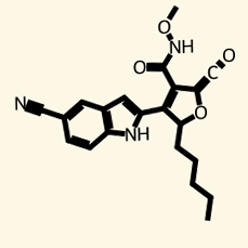 CCCCCC1OC(=C=O)C(C(=O)NOC)=C1c1cc2cc(C#N)ccc2[nH]1